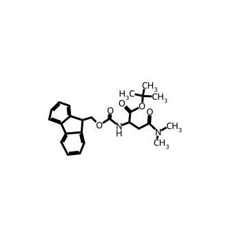 CN(C)C(=O)CC(NC(=O)OCC1c2ccccc2-c2ccccc21)C(=O)OC(C)(C)C